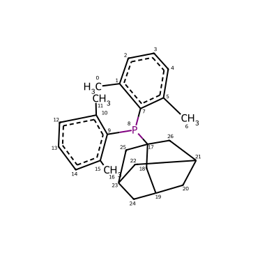 Cc1cccc(C)c1P(c1c(C)cccc1C)C12CC3CC(CC(C3)C1)C2